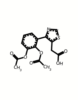 CC(=O)Oc1cccc(-c2n[c]sc2CC(=O)O)c1OC(C)=O